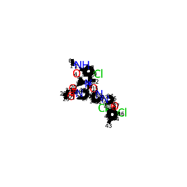 CCNC(=O)c1ccc(Cl)c(C(C)N(C(=O)[C@@H]2CN(C(=O)OC(C)(C)C)CC[C@H]2c2ccc(N3CC[C@@H](Oc4c(Cl)cc(C)cc4Cl)C3)nc2)C2CC2)c1